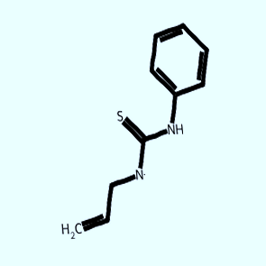 C=CC[N]C(=S)Nc1ccccc1